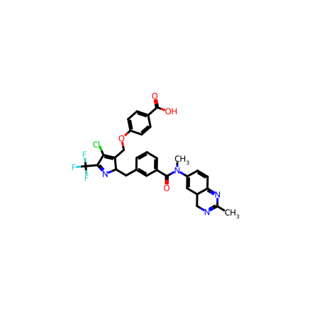 CC1=NCC2C=C(N(C)C(=O)c3cccc(CC4N=C(C(F)(F)F)C(Cl)=C4COc4ccc(C(=O)O)cc4)c3)C=CC2=N1